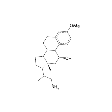 COc1ccc2c(c1)CCC1C2[C@@H](O)C[C@]2(C)C(C(C)CN)CCC12